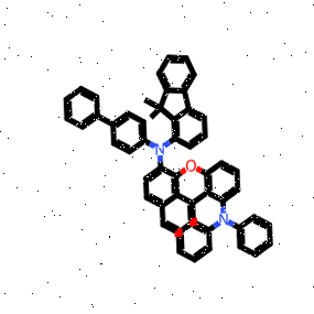 CC1(C)c2ccccc2-c2cccc(N(c3ccc(-c4ccccc4)cc3)c3ccc4cccc5c4c3Oc3cccc(N(c4ccccc4)c4ccccc4)c3-5)c21